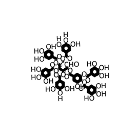 O=C[C@H](OC(=O)c1cc(O)c(OC(=O)c2cc(O)c(O)c(O)c2)c(OC(=O)c2cc(O)c(O)c(O)c2)c1)[C@@H](OC(=O)c1cc(O)c(O)c(O)c1)[C@H](OC(=O)c1cc(O)c(O)c(O)c1)[C@@H](COC(=O)c1cc(O)c(O)c(O)c1)OC(=O)c1cc(O)c(O)c(O)c1